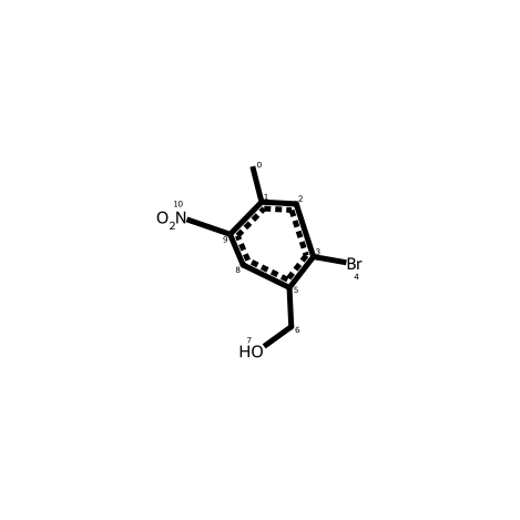 Cc1cc(Br)c(CO)cc1[N+](=O)[O-]